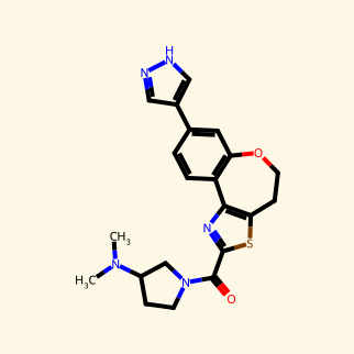 CN(C)C1CCN(C(=O)c2nc3c(s2)CCOc2cc(-c4cn[nH]c4)ccc2-3)C1